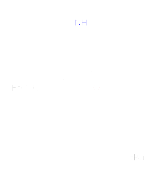 CCOC(=O)CCc1cc(N)ccc1OCc1ccc(C(C)(C)C)cc1